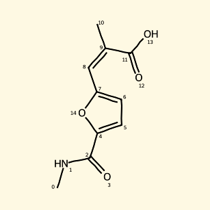 CNC(=O)c1ccc(C=C(C)C(=O)O)o1